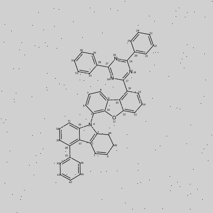 C1=Cc2c(n(-c3cccc4c3oc3cccc(-c5nc(-c6ccccc6)nc(-c6ccccc6)n5)c34)c3cccc(-c4ccccc4)c23)CC1